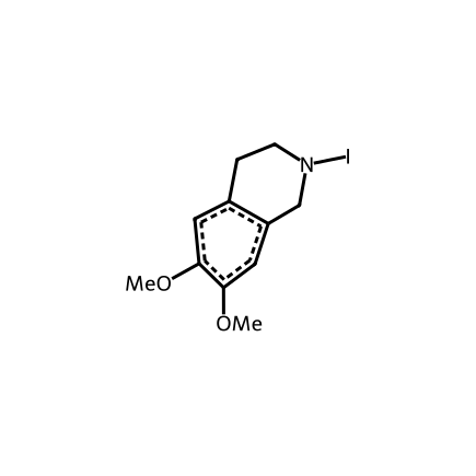 COc1cc2c(cc1OC)CN(I)CC2